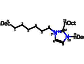 CCCCCCCCCCCCCCCC[n+]1ccn(CCCCCCCCCC)c1CCCCCCCC